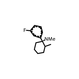 CN[C@]1(c2cccc(F)c2)CCCCC1C